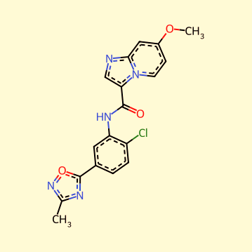 COc1ccn2c(C(=O)Nc3cc(-c4nc(C)no4)ccc3Cl)cnc2c1